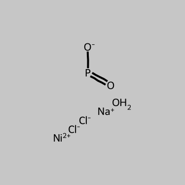 O.O=P[O-].[Cl-].[Cl-].[Na+].[Ni+2]